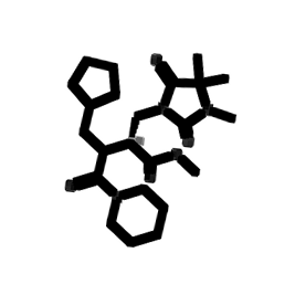 COC(=O)[C@@H](CN1C(=O)N(C)C(C)(C)C1=O)C(CC1CCCC1)C(=O)N1CCCCC1